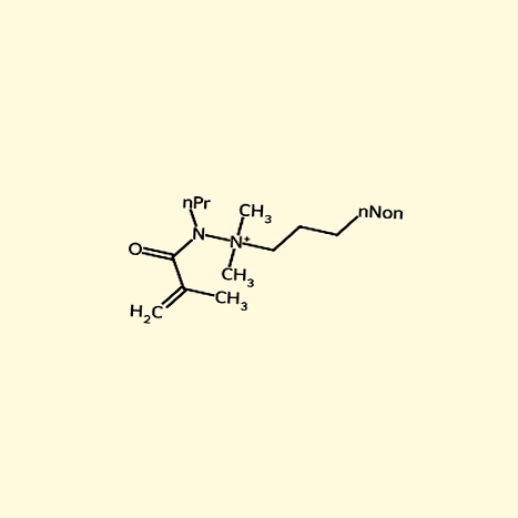 C=C(C)C(=O)N(CCC)[N+](C)(C)CCCCCCCCCCCC